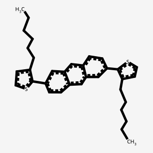 CCCCCCc1ccsc1-c1ccc2cc3cc(-c4sccc4CCCCCC)ccc3cc2c1